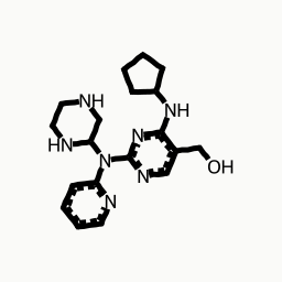 OCc1cnc(N(c2ccccn2)C2CNCCN2)nc1NC1CCCC1